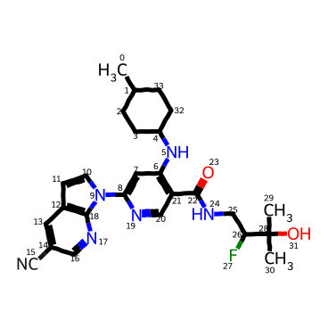 CC1CCC(Nc2cc(-n3ccc4cc(C#N)cnc43)ncc2C(=O)NCC(F)C(C)(C)O)CC1